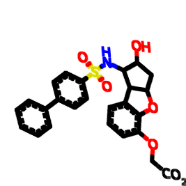 O=C(O)COc1cccc2c1OC1CC(O)C(NS(=O)(=O)c3ccc(-c4ccccc4)cc3)C21